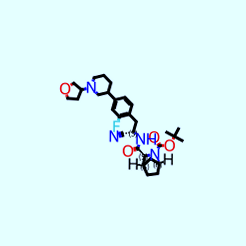 CC(C)(C)OC(=O)N1[C@@H]2CC[C@@H](C2)[C@H]1C(=O)N[C@H](C#N)Cc1ccc(C2CCCN(C3CCOC3)C2)cc1F